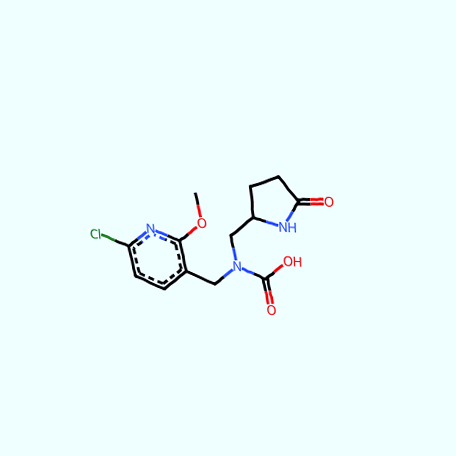 COc1nc(Cl)ccc1CN(CC1CCC(=O)N1)C(=O)O